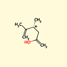 C=C(O)C[C@@H](C)C(=C)C